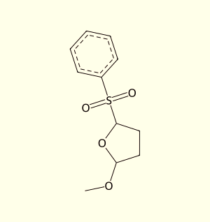 COC1CCC(S(=O)(=O)c2ccccc2)O1